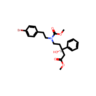 COC(=O)C[C@@](O)(CCN(CCc1ccc(Br)cc1)C(=O)OC)c1ccccc1